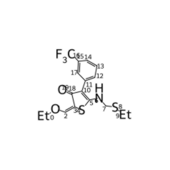 CCOC=C1SC(NCSCC)=C(c2cccc(C(F)(F)F)c2)C1=O